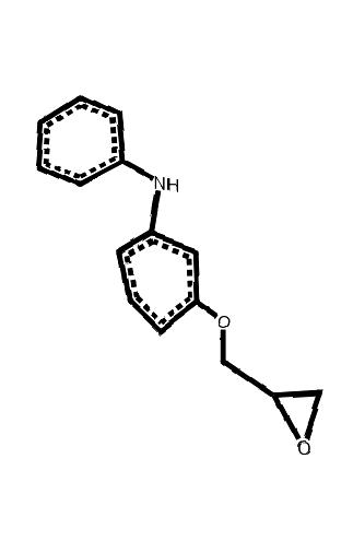 c1ccc(Nc2cccc(OCC3CO3)c2)cc1